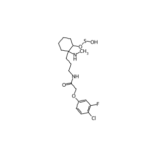 CNC1(CCCNC(=O)COc2ccc(Cl)c(F)c2)CCCCC1OSO